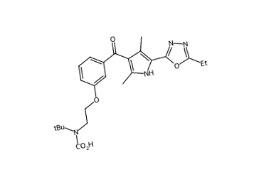 CCc1nnc(-c2[nH]c(C)c(C(=O)c3cccc(OCCN(C(=O)O)C(C)(C)C)c3)c2C)o1